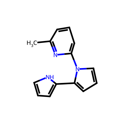 Cc1cccc(-n2cccc2-c2ccc[nH]2)n1